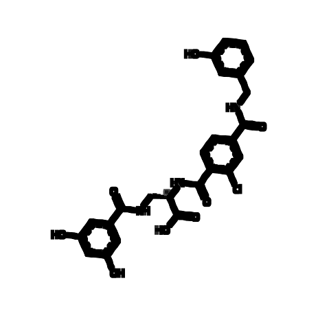 O=C(NCc1cccc(O)c1)c1ccc(C(=O)N[C@@H](CNC(=O)c2cc(O)cc(O)c2)C(=O)O)c(Cl)c1